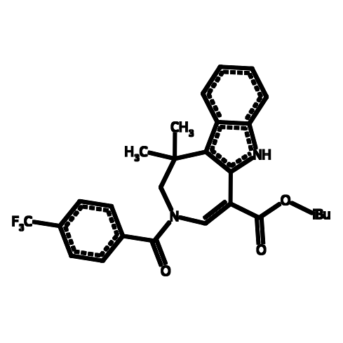 CCC(C)OC(=O)C1=CN(C(=O)c2ccc(C(F)(F)F)cc2)CC(C)(C)c2c1[nH]c1ccccc21